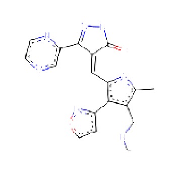 CCNCc1c(C)[nH]c(C=C2C(=O)NN=C2c2cnccn2)c1-c1ccon1